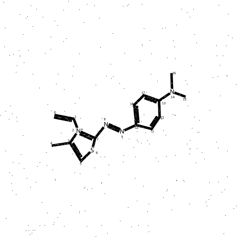 C=C[n+]1c(C)csc1N=Nc1ccc(N(C)C)cc1